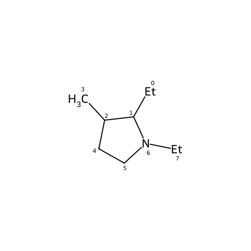 CCC1C(C)CCN1CC